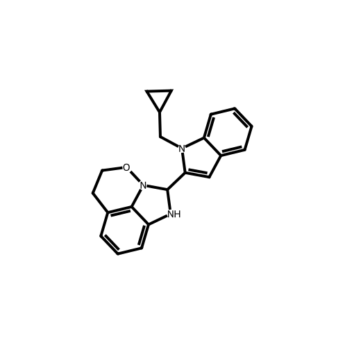 c1cc2c3c(c1)NC(c1cc4ccccc4n1CC1CC1)N3OCC2